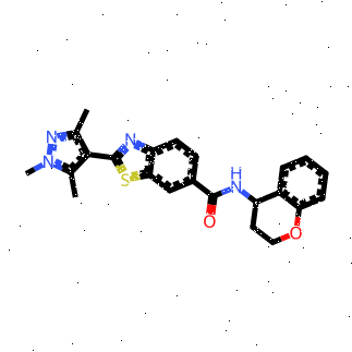 Cc1nn(C)c(C)c1-c1nc2ccc(C(=O)NC3CCOc4ccccc43)cc2s1